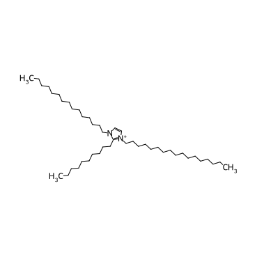 CCCCCCCCCCCCCCCCC[n+]1ccn(CCCCCCCCCCCCCCC)c1CCCCCCCCCC